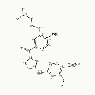 COc1nc(N[C@@H]2CCN(C(=O)c3ccc(N)c(OCCN(C)C)c3)C2)ncc1C#N